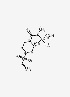 C=CS(=O)(=O)N1CCC(C(=O)N(C)[C@](C)(C(=O)O)C(C)C)CC1